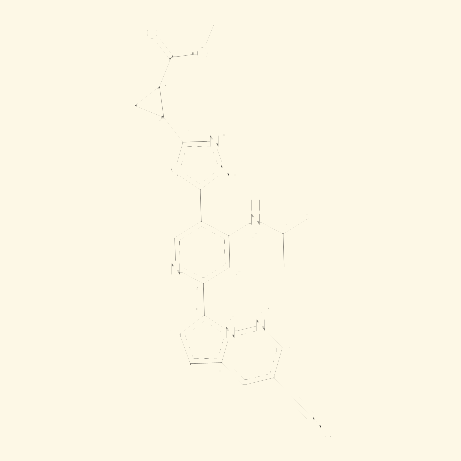 COC(=O)C1CC1c1nnc(-c2cnc(-c3ccc4cc(C#N)cnn34)cc2NC(C)C)s1